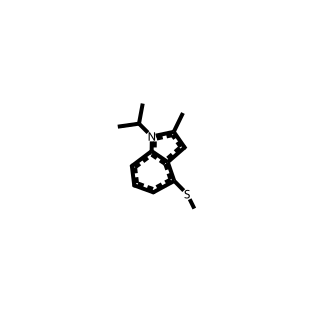 CSc1cccc2c1cc(C)n2C(C)C